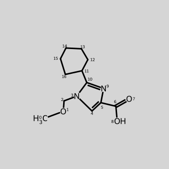 COCn1cc(C(=O)O)nc1C1CCCCC1